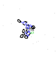 O=C(O)[C@H]1C2CCC(CC2)[C@@H]1Nc1cc(N2CCN(c3ccccc3)CC2)nc(-c2cn(C(c3ccccc3)(c3ccccc3)c3ccccc3)c3ncc(Cl)nc23)n1